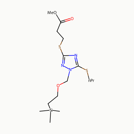 CCCSc1nc(SCCC(=O)OC)nn1COCC[Si](C)(C)C